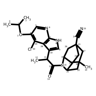 CC(C)Oc1cnc2[nH]cc(C(C)C(=O)N3C4CC5(C)CC3CC(C#N)(C4)C5)c2c1Cl